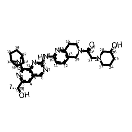 C[C@@H](O)c1cc2cnc(Nc3ccc4c(n3)CCN(C(=O)CN3CCCC(O)C3)C4)nc2c(N2C3CCC2CC3)n1